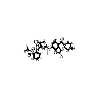 Cc1cc(Nc2ncc(Cl)c(Nc3ccccc3S(=O)(=O)C(C)C)n2)c2c(c1C(=O)N1CCNCC1)C[C@H](C)O2